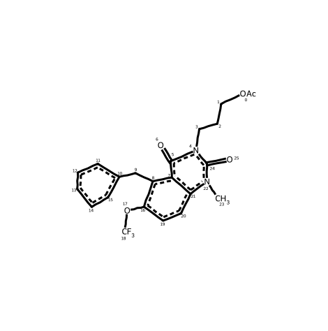 CC(=O)OCCCn1c(=O)c2c(Cc3ccccc3)c(OC(F)(F)F)ccc2n(C)c1=O